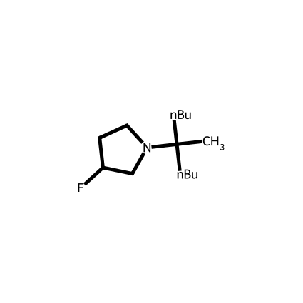 CCCCC(C)(CCCC)N1CCC(F)C1